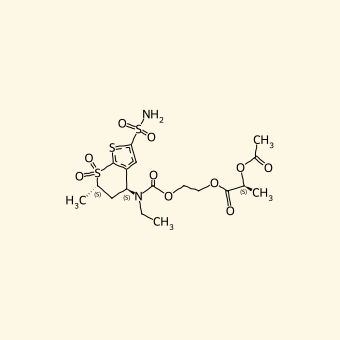 CCN(C(=O)OCCOC(=O)[C@H](C)OC(C)=O)[C@H]1C[C@H](C)S(=O)(=O)c2sc(S(N)(=O)=O)cc21